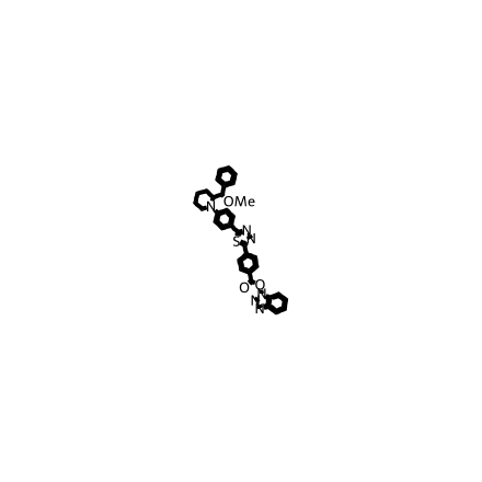 COC(c1ccccc1)C1CCCCN1c1ccc(-c2nnc(-c3ccc(C(=O)On4nnc5ccccc54)cc3)s2)cc1